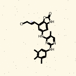 Cc1cnc(Nc2cc(C)c(C)c(C)c2)nc1Nc1cc(/C=C/CCl)c2oc(=O)[nH]c2c1